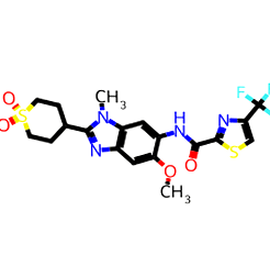 COc1cc2nc(C3CCS(=O)(=O)CC3)n(C)c2cc1NC(=O)c1nc(C(F)(F)F)cs1